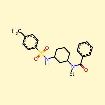 CCN(C(=O)c1ccccc1)C1CCCC(NS(=O)(=O)c2ccc(C)cc2)C1